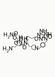 CCCCOc1nc(N)c2[nH]c(=O)n(Cc3ccc(CN4CCC(CCNC(=O)[C@@H](CCCCN)NC(=O)COC(N)=O)CC4)cc3)c2n1